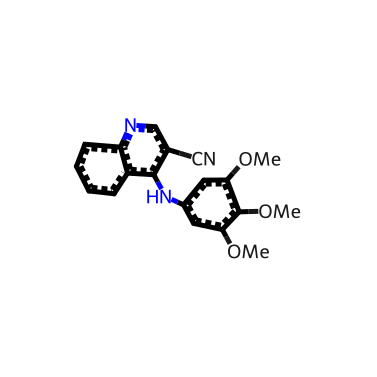 COc1cc(Nc2c(C#N)cnc3ccccc23)cc(OC)c1OC